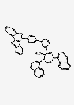 CC1=C(c2cccc3ccccc23)C=CC(c2cccc3ccccc23)C=C1c1cccc(-c2ccc(-c3nc4ccccc4c4nc5ccccn5c34)cc2)c1